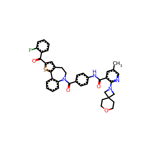 Cc1cnc(N2CC3(CCOCC3)C2)c(C(=O)Nc2ccc(C(=O)N3CCc4cc(C(=O)c5ccccc5F)sc4-c4ccccc43)cc2)c1